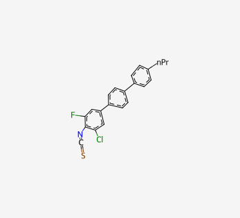 CCCc1ccc(-c2ccc(-c3cc(F)c(N=C=S)c(Cl)c3)cc2)cc1